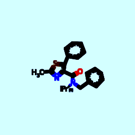 [CH2][C@H](C)N(Cc1ccccc1)C(=O)c1nc(C)sc1-c1ccccc1